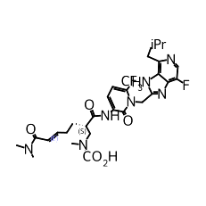 CC(C)Cc1ncc(F)c2nc(Cn3c(C(F)(F)F)ccc(NC(=O)[C@@H](CC/C=C/C(=O)N(C)C)CN(C)C(=O)O)c3=O)[nH]c12